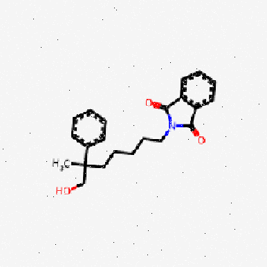 CC(CO)(CCCCCN1C(=O)c2ccccc2C1=O)c1ccccc1